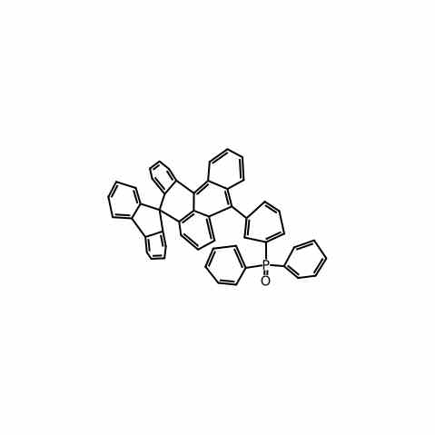 O=P(c1ccccc1)(c1ccccc1)c1cccc(-c2c3ccccc3c3c4c(cccc24)C2(c4ccccc4-c4ccccc42)c2ccccc2-3)c1